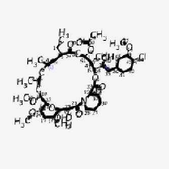 CC[C@@H]1/C=C(\C)C[C@H](C)C[C@H](OC)[C@H]2O[C@](O)([C@H](C)C[C@@H]2OC)[C@@H](O)C(=O)N2CCCC[C@H]2C(=O)O[C@H](/C(C)=C/C2CC[C@H](Cl)[C@H](OC)C2)[C@@H](C)[C@@H](OC(C)=O)CC1=O